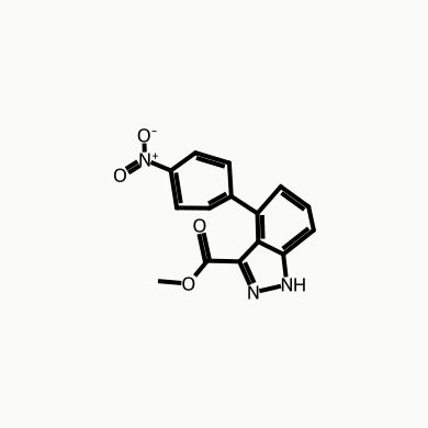 COC(=O)c1n[nH]c2cccc(-c3ccc([N+](=O)[O-])cc3)c12